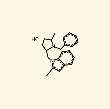 Cc1cc2ccccc2n1CC1CCC(C)N1Cc1ccccc1.Cl